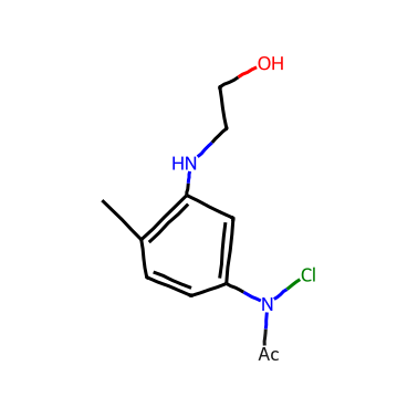 CC(=O)N(Cl)c1ccc(C)c(NCCO)c1